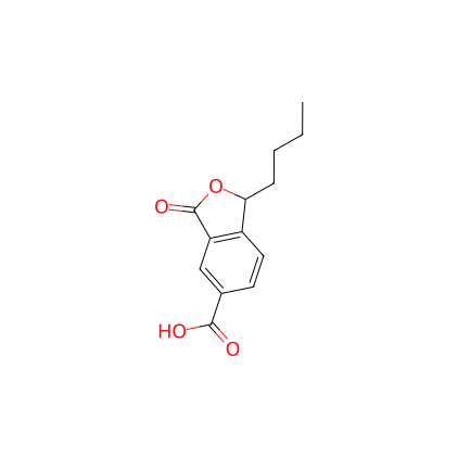 CCCCC1OC(=O)c2cc(C(=O)O)ccc21